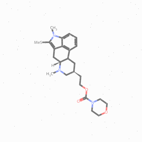 CSc1c2c3c(cccc3n1C)C1C[C@@H](CCOC(=O)N3CCOCC3)CN(C)[C@@H]1C2